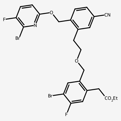 CCOC(=O)Cc1cc(F)c(Br)cc1COCCc1cc(C#N)ccc1COc1ccc(F)c(Br)n1